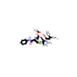 CC(=O)O[C@H](CC(C(C)C)N(C)C(=O)CC(C)C)c1nc(C(=O)NC2CCCCC2)cs1